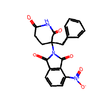 O=C1CCC(Cc2ccccc2)(N2C(=O)c3cccc([N+](=O)[O-])c3C2=O)C(=O)N1